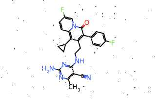 Cc1nc(N)nc(NCCc2c(-c3ccc(F)cc3)c(=O)n3cc(F)ccc3c2C2CC2)c1C#N